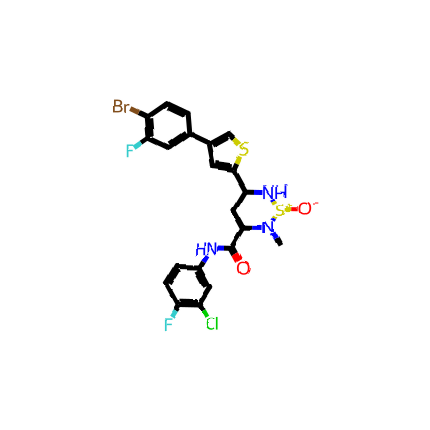 CN1C(C(=O)Nc2ccc(F)c(Cl)c2)CC(c2cc(-c3ccc(Br)c(F)c3)cs2)N[S+]1[O-]